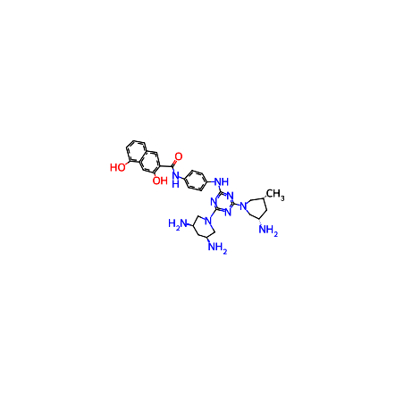 C[C@@H]1C[C@H](N)CN(c2nc(Nc3ccc(NC(=O)c4cc5cccc(O)c5cc4O)cc3)nc(N3C[C@H](N)C[C@H](N)C3)n2)C1